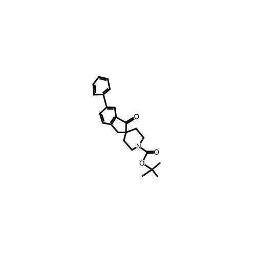 CC(C)(C)OC(=O)N1CCC2(CC1)Cc1ccc(-c3ccccc3)cc1C2=O